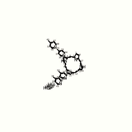 C1=Cc2cc3ccc(cc4nc(cc5ccc(cc1n2)[nH]5)C=C4)[nH]3.Cc1ccncc1.Cc1ccncc1.Cc1ccncc1.Cc1ccncc1.Cl.Cl.Cl.Cl